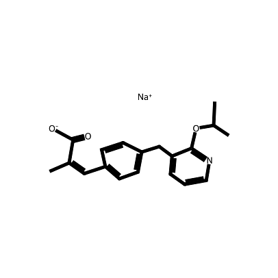 CC(=Cc1ccc(Cc2cccnc2OC(C)C)cc1)C(=O)[O-].[Na+]